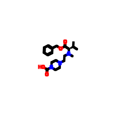 CC(C)[C@@H](C(=O)OCc1ccccc1)N(C)CCN1CCN(C(=O)O)CC1